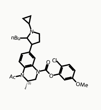 CCCCC1C(c2ccc3c(c2)N(C(=O)Oc2cc(OC)ccc2Cl)C[C@H](C)N3C(C)=O)CCN1C1CC1